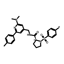 Cc1ccc(-c2cc(CNC(=O)[C@@H]3CCCN3S(=O)(=O)c3ccc(F)cc3)cc(N(C)C)n2)cc1